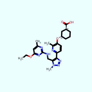 CCOc1cc(C)nc(NCc2c(-c3ccc(O[C@H]4CCC[C@H](C(=O)O)C4)c(C)n3)nnn2C)n1